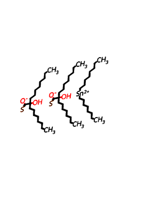 CCCCCCCCC(O)(CCCCCCCC)C([O-])=S.CCCCCCCCC(O)(CCCCCCCC)C([O-])=S.CCCCCCC[CH2][Sn+2][CH2]CCCCCCC